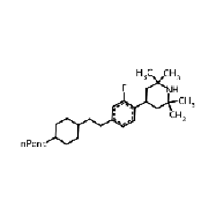 CCCCCC1CCC(CCc2ccc(C3CC(C)(C)NC(C)(C)C3)c(F)c2)CC1